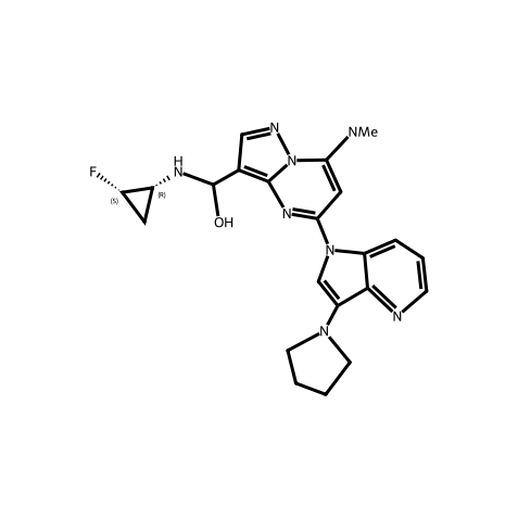 CNc1cc(-n2cc(N3CCCC3)c3ncccc32)nc2c(C(O)N[C@@H]3C[C@@H]3F)cnn12